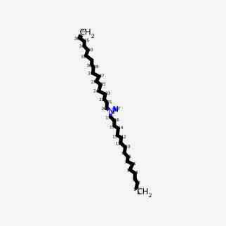 C=CCCCCCCCCCCCCCCCC[N+](=[N-])CCCCCCCCCCCCCCCCC=C